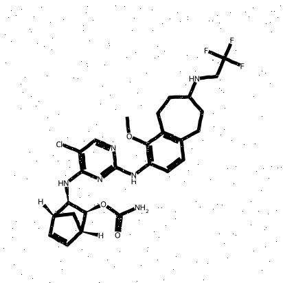 COc1c(Nc2ncc(Cl)c(N[C@H]3[C@@H](OC(N)=O)[C@@H]4C=C[C@H]3C4)n2)ccc2c1CCC(NCC(F)(F)F)CC2